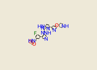 CS(=O)(=O)NCc1cc(F)cc(-c2cncc3[nH]c(-c4n[nH]c5ccc(-c6cncc(OC7CCNCC7)c6)nc45)nc23)c1